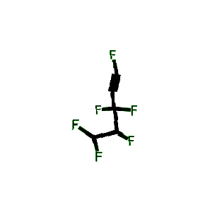 FC#CC(F)(F)C(F)C(F)F